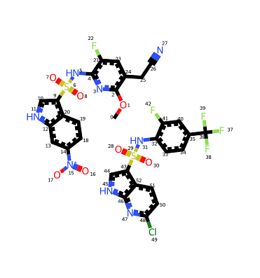 COc1nc(NS(=O)(=O)c2c[nH]c3cc([N+](=O)[O-])ccc23)c(F)cc1CC#N.O=S(=O)(Nc1ccc(C(F)(F)F)cc1F)c1c[nH]c2nc(Cl)ccc12